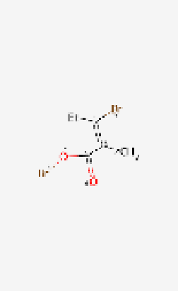 CCC(Br)=C(C)C(=O)OBr